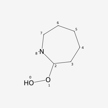 OOC1CCCCC[N]1